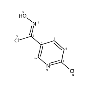 O/N=C(\Cl)c1ccc(Cl)nc1